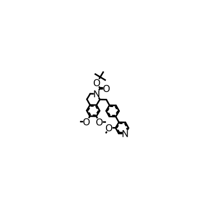 COc1cc2c(cc1OC)C(Cc1ccc(-c3ccncc3OC)cc1)N(C(=O)OC(C)(C)C)CC2